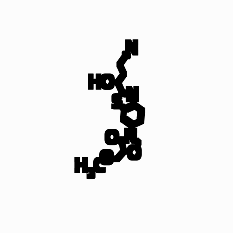 COCC1OCN(c2ccc3nc(C(O)CCC#N)sc3c2)C1=O